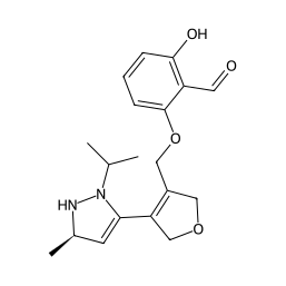 CC(C)N1N[C@H](C)C=C1C1=C(COc2cccc(O)c2C=O)COC1